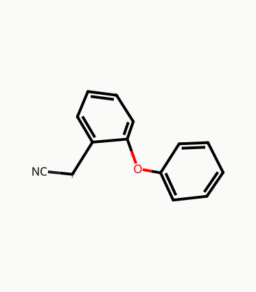 N#C[CH]c1ccccc1Oc1ccccc1